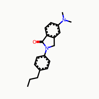 CCCc1ccc(N2Cc3cc(N(C)C)ccc3C2=O)cc1